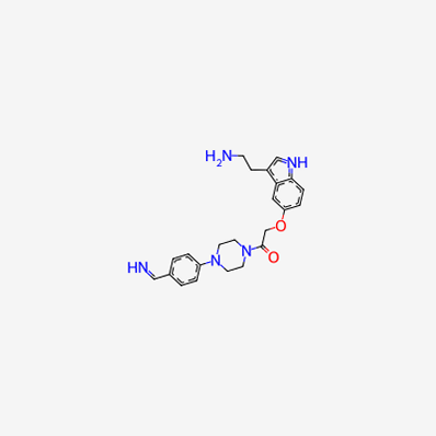 N=Cc1ccc(N2CCN(C(=O)COc3ccc4[nH]cc(CCN)c4c3)CC2)cc1